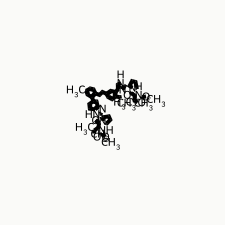 CCc1ccc(CCc2ccc(C)cc2-c2ccc3[nH]c([C@@H]4CCCN4C(=O)[C@@H](NC(=O)OC)C(C)C)nc3c2)cc1-c1c[nH]c([C@@H]2CCCN2C(=O)[C@@H](NC(=O)OC)C(C)C)n1